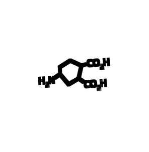 NC1CCC(C(=O)O)C(C(=O)O)C1